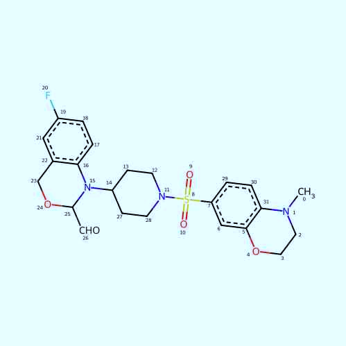 CN1CCOc2cc(S(=O)(=O)N3CCC(N4c5ccc(F)cc5COC4C=O)CC3)ccc21